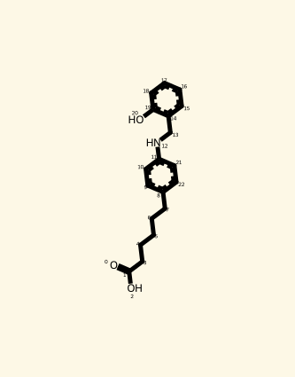 O=C(O)CCCCCc1ccc(NCc2ccccc2O)cc1